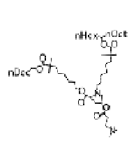 CCCCCCCCCCCOC(=O)C(C)(C)CCCCCCOC(=O)[C@@H]1C[C@H](OC(=O)CCN(C)C)CN1CCCCCCC(C)(C)C(=O)OC(CCCCCC)CCCCCCCC